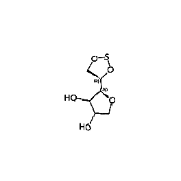 OC1CO[C@H]([C@H]2COSO2)C1O